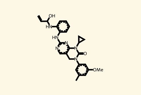 C=CC(O)Nc1ccccc1Nc1ncc2c(n1)N(C1CC1)C(=O)N(c1cc(C)cc(OC)c1)C2